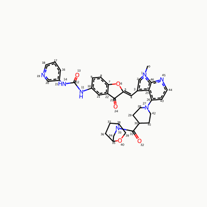 Cn1cc(C=C2Oc3ccc(NC(=O)Nc4cccnc4)cc3C2=O)c2c(N3CCC(C(=O)N4CC5CCC4CO5)CC3)ccnc21